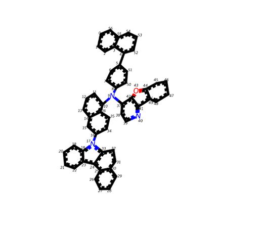 c1ccc2c(-c3ccc(N(c4cccc5cc(-n6c7ccccc7c7c8ccccc8ccc76)ccc45)c4ccnc5c4oc4ccccc45)cc3)cccc2c1